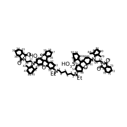 CCN(CCCCCCN(CC)c1ccc2c(-c3ccccc3S(=O)(=O)O)c3ccc(N(CCN4C(=O)c5ccccc5C4=O)c4c(C)cccc4C)cc3[o+]c2c1)c1ccc2c(c1)OC1C=C(N(CCN3C(=O)c4ccccc4C3=O)c3c(C)cccc3C)C=CC1=C2c1ccccc1S(=O)(=O)O